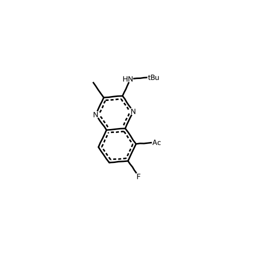 CC(=O)c1c(F)ccc2nc(C)c(NC(C)(C)C)nc12